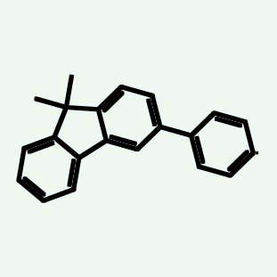 CC1(C)c2ccccc2-c2cc(-c3cc[c]cc3)ccc21